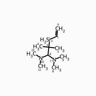 C=C[SiH2]C(C)(C)C(N(C)C)N(C)C